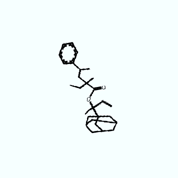 CCC(C)(CC(C)c1ccccc1)C(=O)OC(C)(CC)C12CC3CC(CC(C3)C1)C2